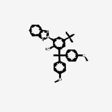 COc1ccc(C(C)(c2ccc(OC)cc2)c2cc(C(C)(C)C)cc(-n3nc4ccccc4n3)c2O)cc1